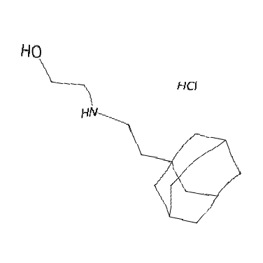 Cl.OCCNCCC12CC3CC(CC(C3)C1)C2